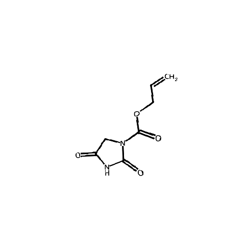 C=CCOC(=O)N1CC(=O)NC1=O